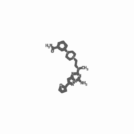 CN(CCN1CCN(c2cccc(C(N)=O)c2)CC1)c1nc(N)n2nc(-c3ccco3)cc2n1